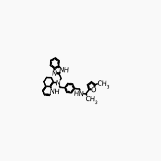 Cc1ccc(C(C)NCc2ccc(CN(Cc3nc4ccccc4[nH]3)C3=C4NC=CC=C4CCC3)cc2)o1